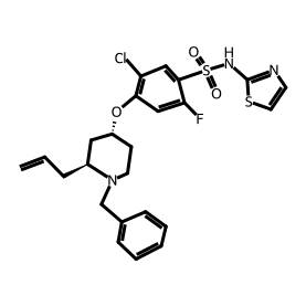 C=CC[C@H]1C[C@H](Oc2cc(F)c(S(=O)(=O)Nc3nccs3)cc2Cl)CCN1Cc1ccccc1